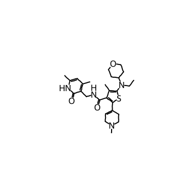 CCN(c1sc(C2=CCN(C)CC2)c(C(=O)NCc2c(C)cc(C)[nH]c2=O)c1C)C1CCOCC1